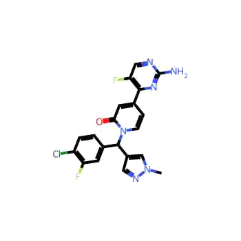 Cn1cc(C(c2ccc(Cl)c(F)c2)n2ccc(-c3nc(N)ncc3F)cc2=O)cn1